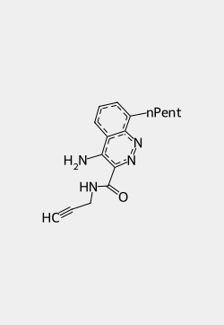 C#CCNC(=O)c1nnc2c(CCCCC)cccc2c1N